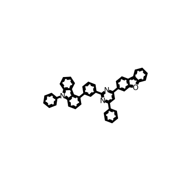 c1ccc(-c2cc(-c3ccc4c(c3)oc3ccccc34)nc(-c3cccc(-c4cccc5c4c4ccccc4n5-c4ccccc4)c3)n2)cc1